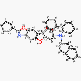 c1ccc(-c2nc3cc4oc5cc(N(c6ccc7ccccc7c6)c6ccccc6-c6ccccc6)ccc5c4cc3o2)cc1